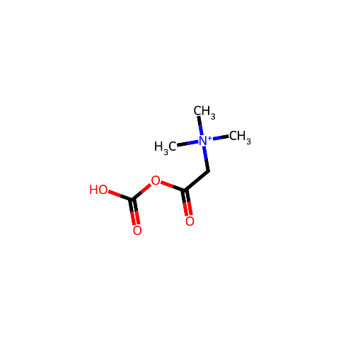 C[N+](C)(C)CC(=O)OC(=O)O